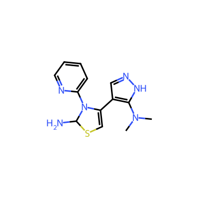 CN(C)c1[nH]ncc1C1=CSC(N)N1c1ccccn1